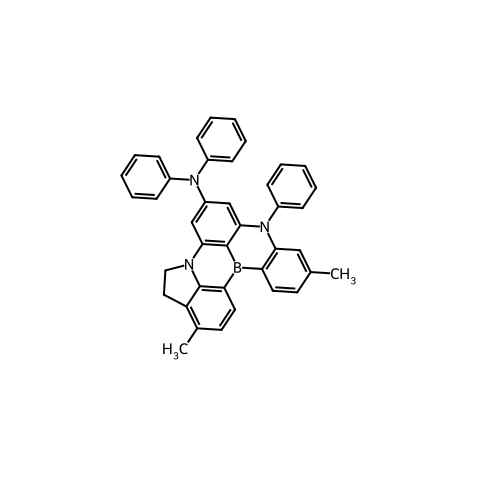 Cc1ccc2c(c1)N(c1ccccc1)c1cc(N(c3ccccc3)c3ccccc3)cc3c1B2c1ccc(C)c2c1N3CC2